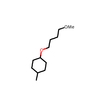 COCCCCOC1CCC(C)CC1